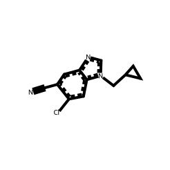 N#Cc1cc2ncn(CC3CC3)c2cc1Cl